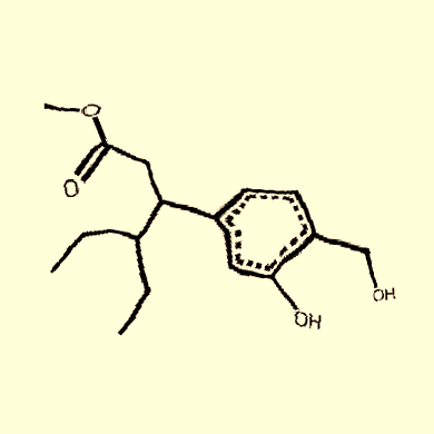 CCC(CC)C(CC(=O)OC)c1ccc(CO)c(O)c1